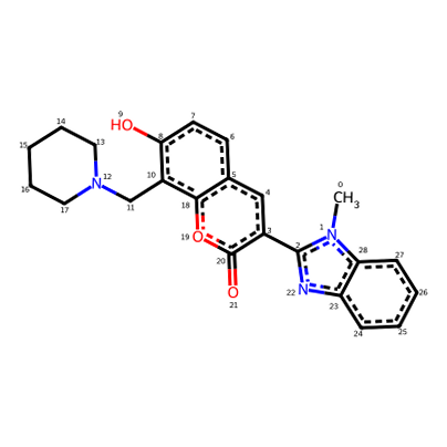 Cn1c(-c2cc3ccc(O)c(CN4CCCCC4)c3oc2=O)nc2ccccc21